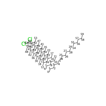 CCCCCC.CCCCCC.CCCCCC.CCCCCC.CCCCCC.CCCCCC.CCCCCC.CCCCCC.CCCCCC.CCCCCC.ClCCl